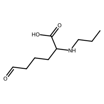 CCCNC(CCCC=O)C(=O)O